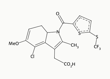 COC1=CCC2C(=C1Cl)C(CC(=O)O)=C(C)N2C(=O)c1ccc(SC(F)(F)F)s1